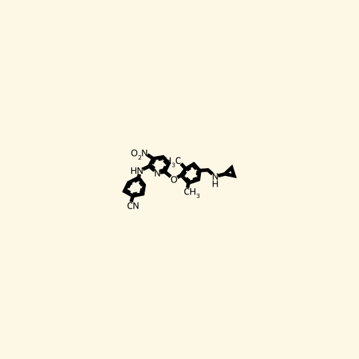 Cc1cc(CNC2CC2)cc(C)c1Oc1ccc([N+](=O)[O-])c(Nc2ccc(C#N)cc2)n1